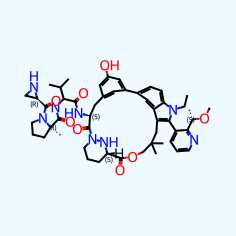 CCn1c(-c2cccnc2[C@H](C)OC)c2c3cc(ccc31)-c1cc(O)cc(c1)C[C@H](NC(=O)C(C(C)C)N(C)C(=O)[C@@]1(C)CCCN1C(=O)[C@H]1CN1)C(=O)N1CCC[C@H](N1)C(=O)OCC(C)(C)C2